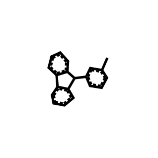 [CH2]c1cccc(C2c3ccccc3-c3ccccc32)c1